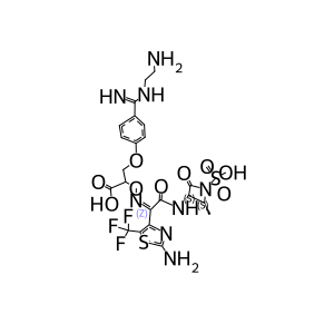 C[C@H]1[C@H](NC(=O)/C(=N\OC(COc2ccc(C(=N)NCCN)cc2)C(=O)O)c2nc(N)sc2C(F)(F)F)C(=O)N1S(=O)(=O)O